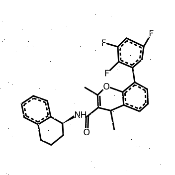 CC1=C(C(=O)N[C@H]2CCCc3ccccc32)C(C)c2cccc(-c3cc(F)cc(F)c3F)c2O1